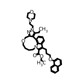 CCOC(=O)c1c(CCCOc2cccc3ccccc23)c2cccc3c2n1CCCCOCc1nn(CCN2CCOCC2)c(CC)c1-3